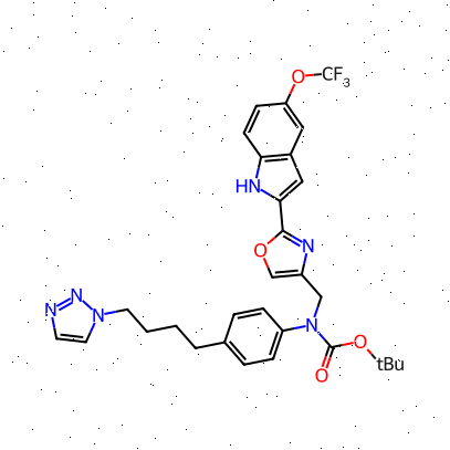 CC(C)(C)OC(=O)N(Cc1coc(-c2cc3cc(OC(F)(F)F)ccc3[nH]2)n1)c1ccc(CCCCn2ccnn2)cc1